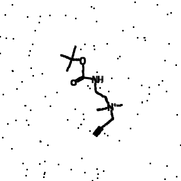 C#CC[N+](C)(C)CCNC(=O)OC(C)(C)C